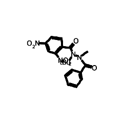 CN(C(=O)c1ccccc1)N(C(=O)c1ccc([N+](=O)[O-])cc1[N+](=O)[O-])C(C)(C)C